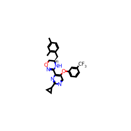 Cc1ccc(C[C@@H]2CON=C(c3nc(C4CC4)ncc3Oc3cccc(C(F)(F)F)c3)N2)c(C)c1